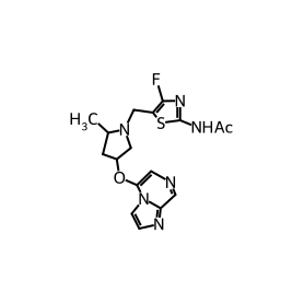 CC(=O)Nc1nc(F)c(CN2CC(Oc3cncc4nccn34)CC2C)s1